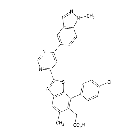 Cc1cc2nc(-c3cc(-c4ccc5c(cnn5C)c4)ncn3)sc2c(-c2ccc(Cl)cc2)c1CC(=O)O